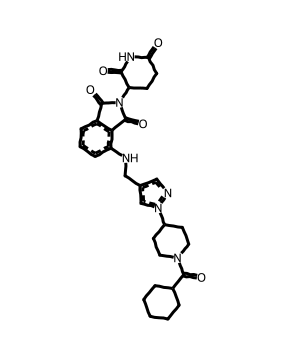 O=C1CCC(N2C(=O)c3cccc(NCc4cnn(C5CCN(C(=O)C6CCCCC6)CC5)c4)c3C2=O)C(=O)N1